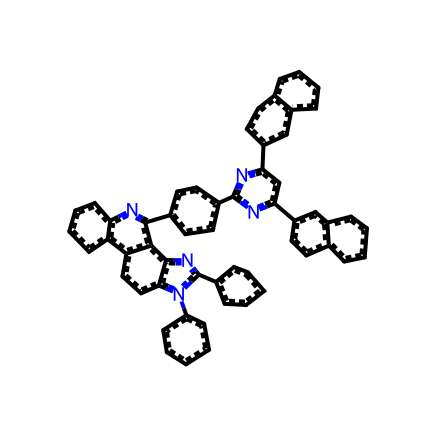 c1ccc(-c2nc3c4c(-c5ccc(-c6nc(-c7ccc8ccccc8c7)cc(-c7ccc8ccccc8c7)n6)cc5)nc5ccccc5c4ccc3n2-c2ccccc2)cc1